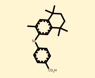 Cc1cc2c(cc1[Se]c1ccc(C(=O)O)cc1)C(C)(C)CCC2(C)C